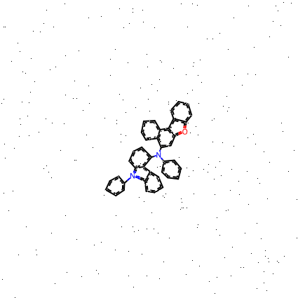 c1ccc(N(c2cc3oc4ccccc4c3c3ccccc23)c2cccc3c2c2ccccc2n3-c2ccccc2)cc1